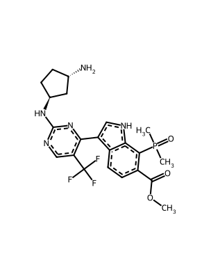 COC(=O)c1ccc2c(-c3nc(N[C@H]4CC[C@H](N)C4)ncc3C(F)(F)F)c[nH]c2c1P(C)(C)=O